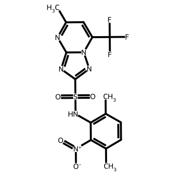 Cc1cc(C(F)(F)F)n2nc(S(=O)(=O)Nc3c(C)ccc(C)c3[N+](=O)[O-])nc2n1